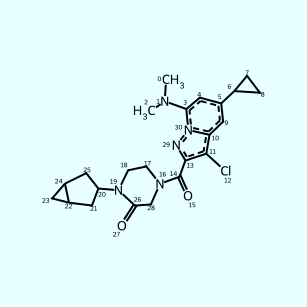 CN(C)c1cc(C2CC2)cc2c(Cl)c(C(=O)N3CCN(C4CC5CC5C4)C(=O)C3)nn12